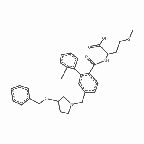 CSCCC(NC(=O)c1ccc(CN2CCC(OCc3ccccc3)C2)cc1-c1ccccc1C)C(=O)O